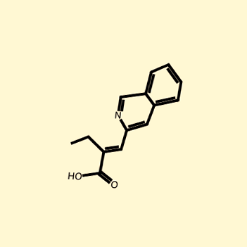 CC/C(=C\c1cc2ccccc2cn1)C(=O)O